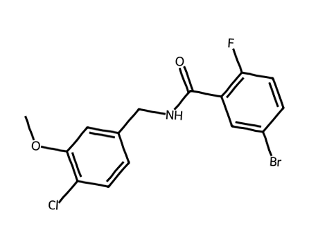 COc1cc(CNC(=O)c2cc(Br)ccc2F)ccc1Cl